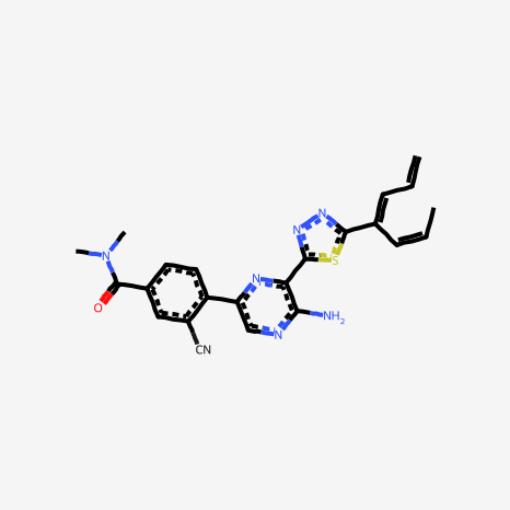 C=C/C=C(\C=C/C)c1nnc(-c2nc(-c3ccc(C(=O)N(C)C)cc3C#N)cnc2N)s1